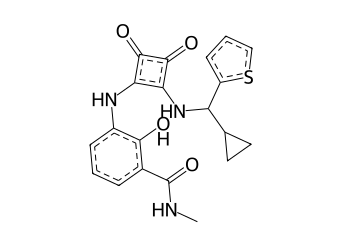 CNC(=O)c1cccc(Nc2c(NC(c3cccs3)C3CC3)c(=O)c2=O)c1O